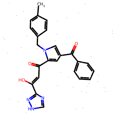 Cc1ccc(Cn2cc(C(=O)c3ccccc3)cc2C(=O)C=C(O)c2nc[nH]n2)cc1